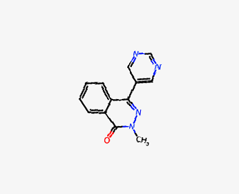 Cn1nc(-c2cncnc2)c2ccccc2c1=O